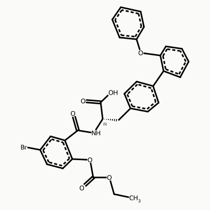 CCOC(=O)Oc1ccc(Br)cc1C(=O)N[C@@H](Cc1ccc(-c2ccccc2Oc2ccccc2)cc1)C(=O)O